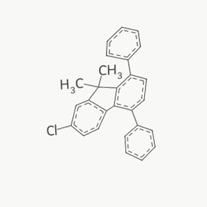 CC1(C)c2cc(Cl)ccc2-c2c(-c3ccccc3)ccc(-c3ccccc3)c21